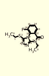 CCSc1nnc2n(CC)c(=O)c3cccc(F)c3n12